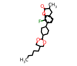 CCCCCC1COC(C2CCC(c3ccc4c(c3F)OC(=O)C(C)C4)CC2)OC1